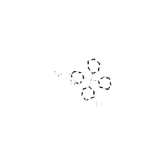 CCc1cccc(C(c2ccccc2)(c2ccccc2)c2ccc(C#N)nc2)c1